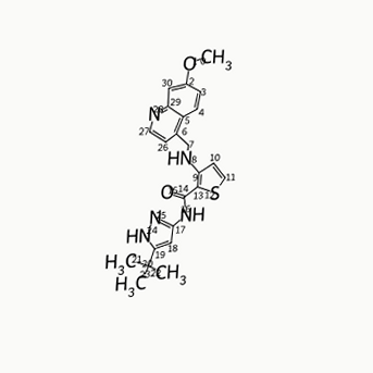 COc1ccc2c(CNc3ccsc3C(=O)Nc3cc(C(C)(C)C)[nH]n3)ccnc2c1